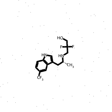 C[C@H](Cc1c[nH]c2ccc(C(F)(F)F)cc12)NCC(F)(F)CO